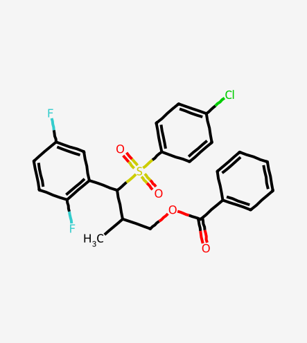 CC(COC(=O)c1ccccc1)C(c1cc(F)ccc1F)S(=O)(=O)c1ccc(Cl)cc1